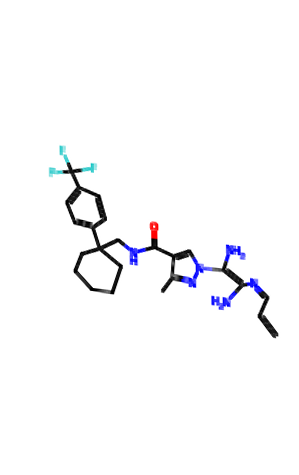 C=C/C=N\C(N)=C(/N)n1cc(C(=O)NCC2(c3ccc(C(F)(F)F)cc3)CCCCC2)c(C)n1